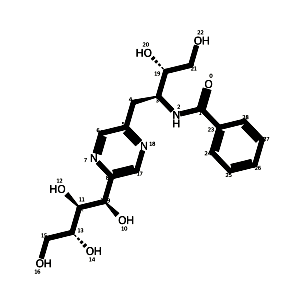 O=C(N[C@@H](Cc1cnc([C@@H](O)[C@H](O)[C@H](O)CO)cn1)[C@H](O)CO)c1ccccc1